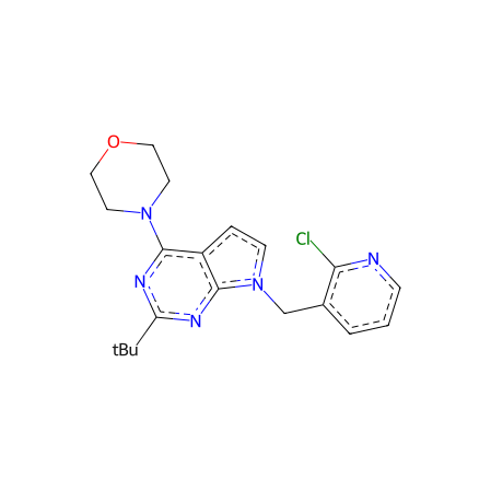 CC(C)(C)c1nc(N2CCOCC2)c2ccn(Cc3cccnc3Cl)c2n1